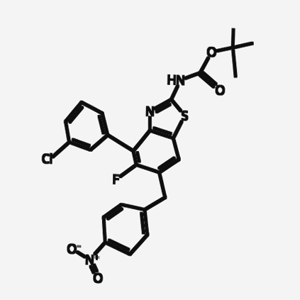 CC(C)(C)OC(=O)Nc1nc2c(-c3cccc(Cl)c3)c(F)c(Cc3ccc([N+](=O)[O-])cc3)cc2s1